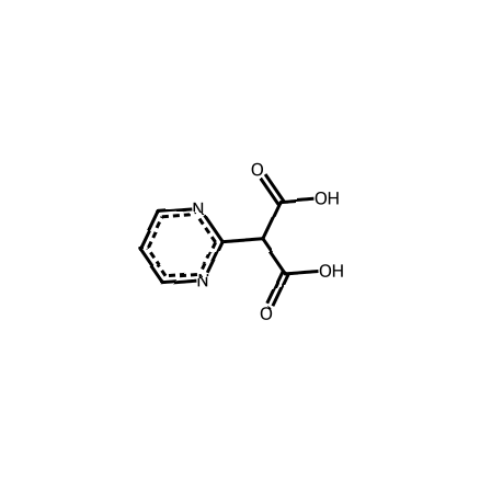 O=C(O)C(C(=O)O)c1ncccn1